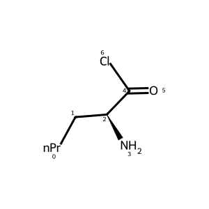 CCCC[C@H](N)C(=O)Cl